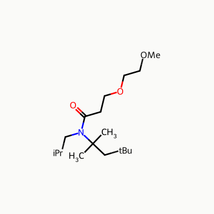 COCCOCCC(=O)N(CC(C)C)C(C)(C)CC(C)(C)C